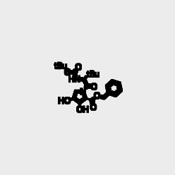 CC(C)(C)OC(=O)N[C@H](C(=O)N1C[C@H](O)[C@H](O)[C@H]1C(=O)OCc1ccccc1)C(C)(C)C